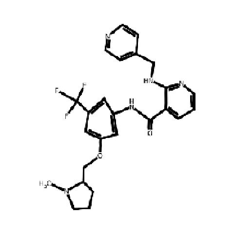 CN1CCCC1COc1cc(NC(=O)c2cccnc2NCc2ccncc2)cc(C(F)(F)F)c1